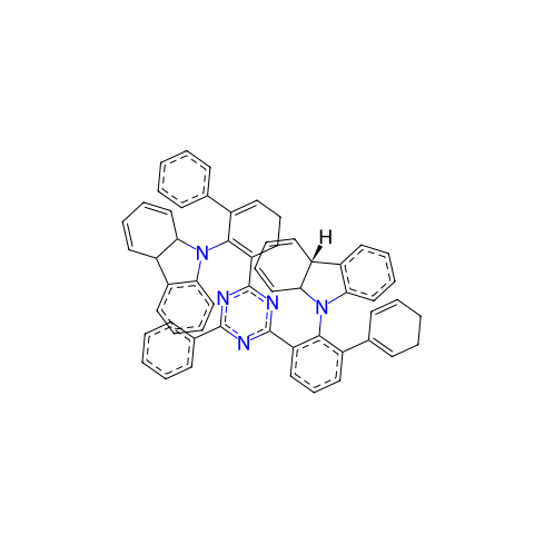 C1=CC2c3ccccc3N(C3=C(c4nc(-c5ccccc5)nc(-c5cccc(C6=CCCC=C6)c5N5c6ccccc6[C@H]6C=CC=CC65)n4)CCC=C3c3ccccc3)C2C=C1